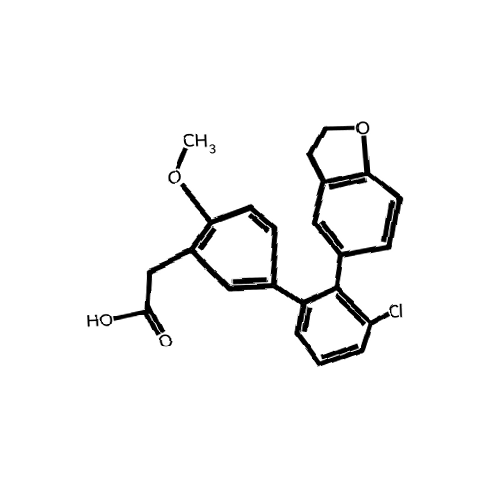 COc1ccc(-c2cccc(Cl)c2-c2ccc3c(c2)CCO3)cc1CC(=O)O